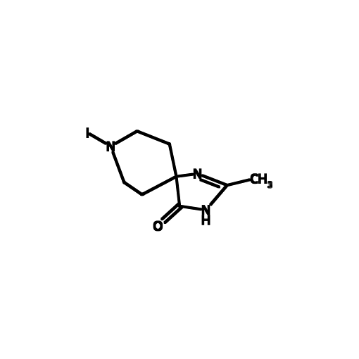 CC1=NC2(CCN(I)CC2)C(=O)N1